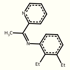 CCc1cccc(N=C(C)c2ccccn2)c1CC